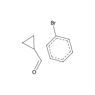 Brc1ccccc1.O=CC1CC1